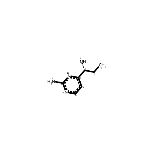 CC[C@@H](O)c1ccnc(N)n1